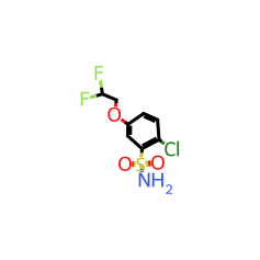 NS(=O)(=O)c1cc(OCC(F)F)ccc1Cl